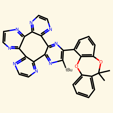 CC(C)(C)c1nc2c(nc1-c1cccc3c1Oc1ccccc1C(C)(C)O3)-c1nccnc1-c1nccnc1-c1nccnc1-2